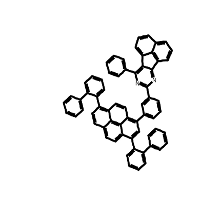 c1ccc(-c2ccccc2-c2ccc3ccc4c(-c5ccccc5-c5ccccc5)cc(-c5cccc(-c6nc(-c7ccccc7)c7c(n6)-c6cccc8cccc-7c68)c5)c5ccc2c3c54)cc1